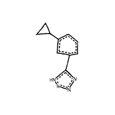 [c]1cc(-c2nnn[nH]2)cc(C2CC2)c1